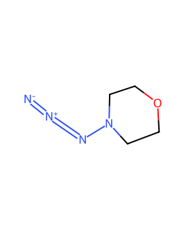 [N-]=[N+]=NN1CCOCC1